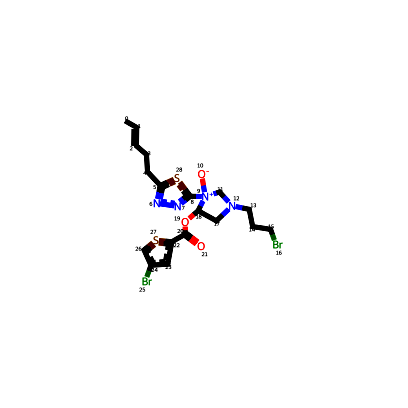 CC=CCCc1nnc([N+]2([O-])CN(CCCBr)CC2OC(=O)c2cc(Br)cs2)s1